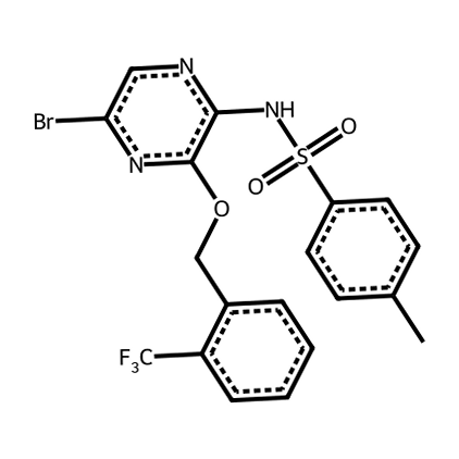 Cc1ccc(S(=O)(=O)Nc2ncc(Br)nc2OCc2ccccc2C(F)(F)F)cc1